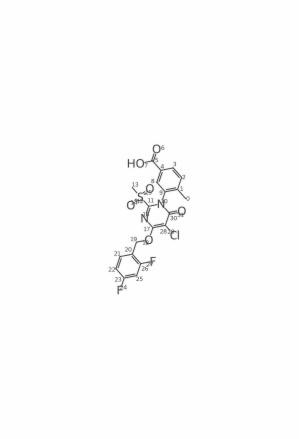 Cc1ccc(C(=O)O)cc1-n1c(S(C)(=O)=O)nc(OCc2ccc(F)cc2F)c(Cl)c1=O